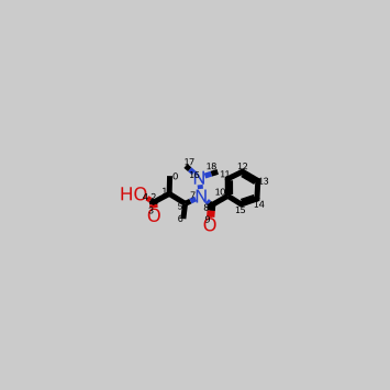 CC(C(=O)O)C(C)N(C(=O)c1ccccc1)N(C)C